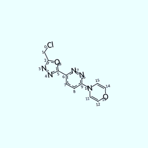 ClCc1nnc(-c2ccc(N3C=COC=C3)nn2)o1